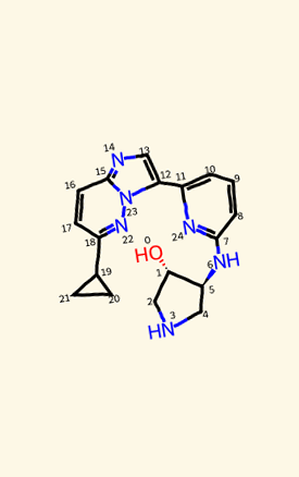 O[C@H]1CNC[C@@H]1Nc1cccc(-c2cnc3ccc(C4CC4)nn23)n1